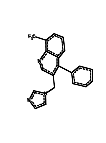 FC(F)(F)c1cccc2c(-c3ccccc3)c(Cn3ccnc3)cnc12